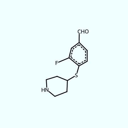 O=Cc1ccc(SC2CCNCC2)c(F)c1